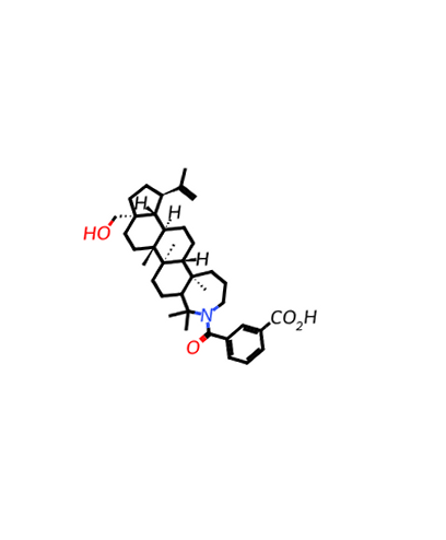 C=C(C)[C@@H]1CC[C@]2(CO)CC[C@]3(C)[C@H](CC[C@@H]4[C@@]5(C)CCCN(C(=O)c6cccc(C(=O)O)c6)C(C)(C)C5CC[C@]43C)[C@@H]12